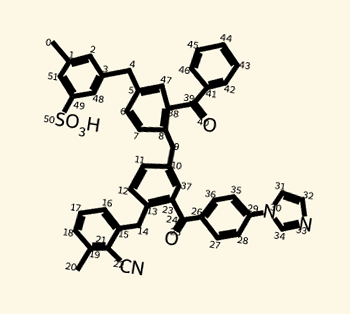 Cc1cc(Cc2ccc(Cc3ccc(Cc4cccc(C)c4C#N)c(C(=O)c4ccc(-n5ccnc5)cc4)c3)c(C(=O)c3ccccc3)c2)cc(S(=O)(=O)O)c1